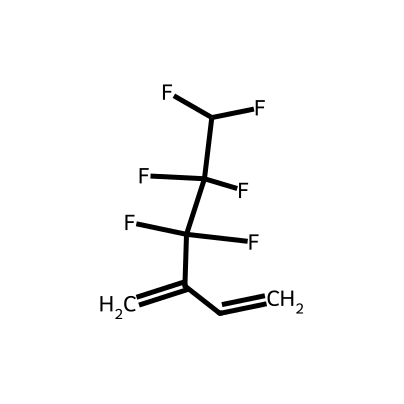 C=CC(=C)C(F)(F)C(F)(F)C(F)F